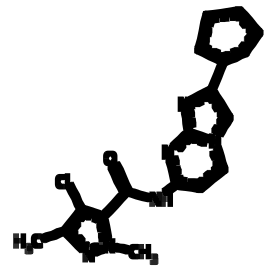 Cc1nn(C)c(C(=O)Nc2ccn3cc(-c4ccccc4)nc3n2)c1Cl